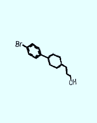 OC/C=C/C1CCC(c2ccc(Br)cc2)CC1